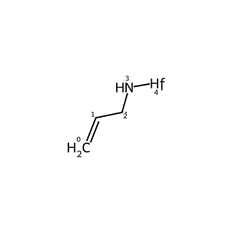 C=C[CH][NH][Hf]